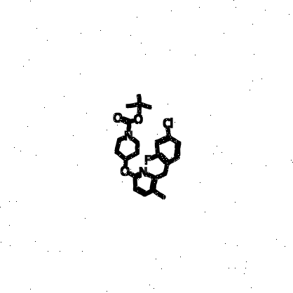 Cc1ccc(OC2CCN(C(=O)OC(C)(C)C)CC2)nc1Cc1ccc(Cl)cc1F